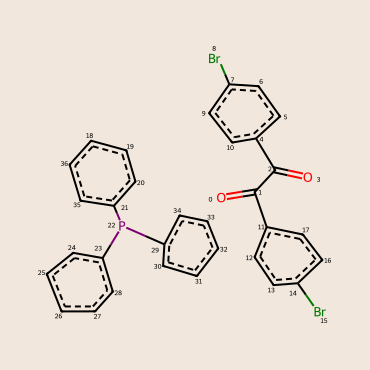 O=C(C(=O)c1ccc(Br)cc1)c1ccc(Br)cc1.c1ccc(P(c2ccccc2)c2ccccc2)cc1